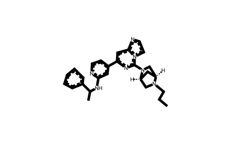 CCCN1C[C@@H]2C[C@H]1CN2c1nc(-c2ccnc(NC(C)c3ccccc3)c2)cc2nccn12